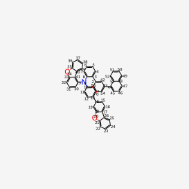 c1cc(-c2ccccc2N(c2ccc(-c3ccc4c(c3)oc3ccccc34)cc2)c2cccc3oc4ccccc4c23)cc(-c2cccc3ccccc23)c1